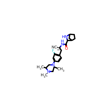 CC1CN(c2ccc(C[C@@H](C#N)NC(=O)C3NC4CCC3C4)c(F)c2)C(C)CN1C